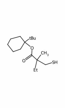 CCC(C)(CS)C(=O)OC1(C(C)(C)C)CCCCC1